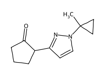 CC1(n2ccc(C3CCCC3=O)n2)CC1